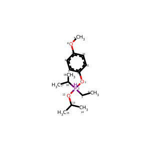 CC[PH](Oc1ccc(OC)cc1)(OC(C)C)C(C)C